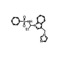 CCC(NS(=O)(=O)c1ccccc1)n1cc(Cn2ccnc2)c2ccccc21